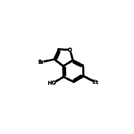 CCc1cc(O)c2c(Br)coc2c1